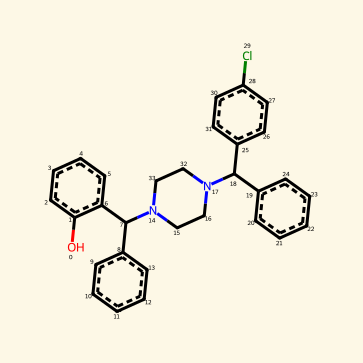 Oc1ccccc1C(c1cc[c]cc1)N1CCN(C(c2ccccc2)c2ccc(Cl)cc2)CC1